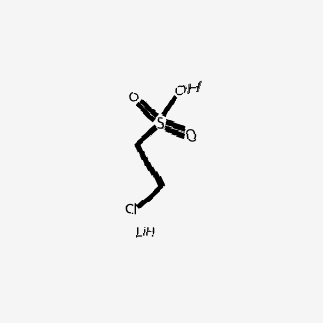 O=S(=O)(O)CCCl.[LiH]